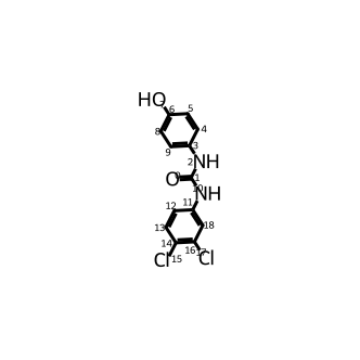 O=C(Nc1ccc(O)cc1)Nc1ccc(Cl)c(Cl)c1